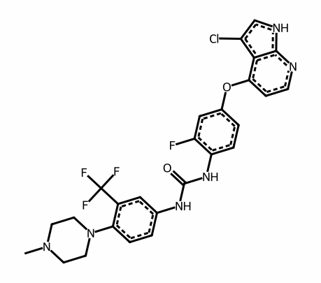 CN1CCN(c2ccc(NC(=O)Nc3ccc(Oc4ccnc5[nH]cc(Cl)c45)cc3F)cc2C(F)(F)F)CC1